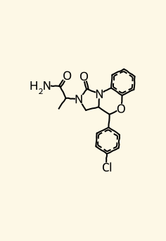 CC(C(N)=O)N1CC2C(c3ccc(Cl)cc3)Oc3ccccc3N2C1=O